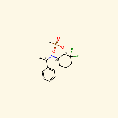 C[C@@H](N[C@@H]1CCCC(F)(F)[C@H]1OS(C)(=O)=O)c1ccccc1